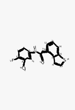 O=C(Nc1ccc(F)c(Cl)c1)c1cccc2sccc12